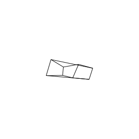 C12C3C4C1C1C2C3C41